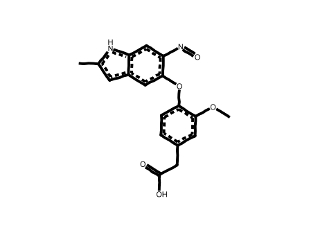 COc1cc(CC(=O)O)ccc1Oc1cc2cc(C)[nH]c2cc1N=O